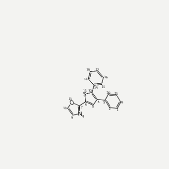 c1ccc(-c2cc(-c3ncco3)sc2-c2ccccc2)cc1